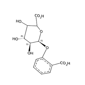 O=C(O)c1ccccc1O[C@@H]1OC(C(=O)O)C(O)[C@@H](O)[C@@H]1O